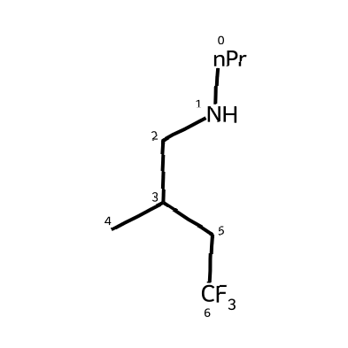 CCCNCC(C)CC(F)(F)F